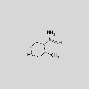 CC1CNCCN1C(=N)N